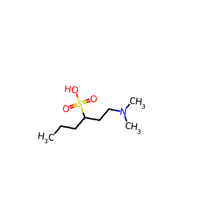 CCC[C](CCN(C)C)S(=O)(=O)O